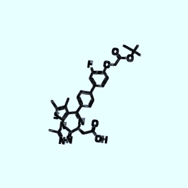 Cc1sc2c(c1C)C(c1ccc(-c3ccc(OCC(=O)OC(C)(C)C)c(F)c3)cc1)=N[C@@H](CC(=O)O)c1nnc(C)n1-2